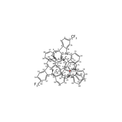 FC(F)(F)c1ccc2c3ccccc3n(-c3cccc(-n4c5ccccc5c5ccc(C(F)(F)F)cc54)c3-c3nc(-c4ccccc4)nc(-c4c(-n5c6ccccc6c6ccc(C(F)(F)F)cc65)cccc4-n4c5ccccc5c5ccc(C(F)(F)F)cc54)n3)c2c1